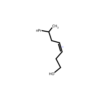 CCCC(C)C/C=C\CCO